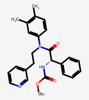 Cc1ccc(N(CCc2cccnc2)C(=O)[C@@H](NC(=O)OC(C)(C)C)c2ccccc2)cc1C